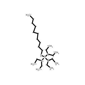 CCCCCCCCCC[O][Ti]([N](CC)CC)([N](CC)CC)[N](CC)CC